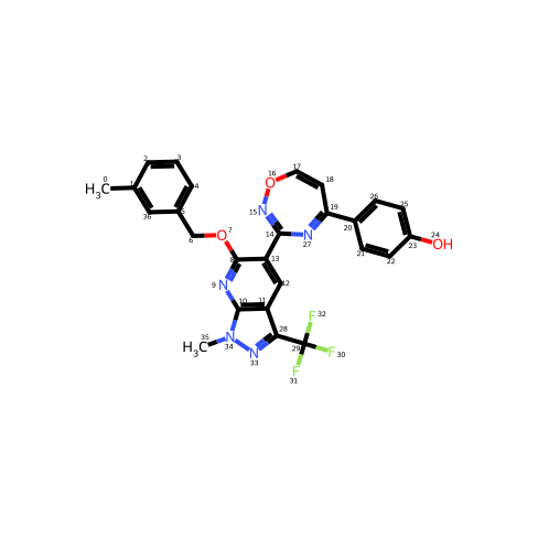 Cc1cccc(COc2nc3c(cc2C2=NOC=CC(c4ccc(O)cc4)=N2)c(C(F)(F)F)nn3C)c1